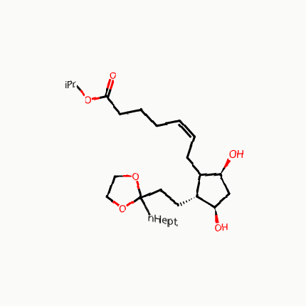 CCCCCCCC1(CC[C@@H]2C(C/C=C\CCCC(=O)OC(C)C)[C@@H](O)C[C@H]2O)OCCO1